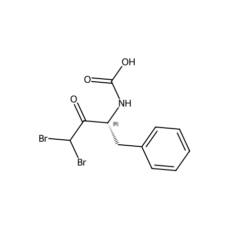 O=C(O)N[C@H](Cc1ccccc1)C(=O)C(Br)Br